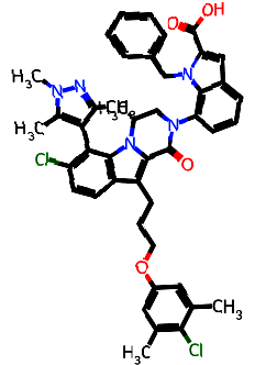 Cc1cc(OCCCc2c3n(c4c(-c5c(C)nn(C)c5C)c(Cl)ccc24)[C@H](C)CN(c2cccc4cc(C(=O)O)n(Cc5ccccc5)c24)C3=O)cc(C)c1Cl